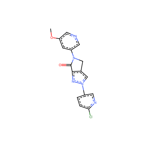 COc1cncc(N2Cc3cn(-c4ccc(Cl)nc4)nc3C2=O)c1